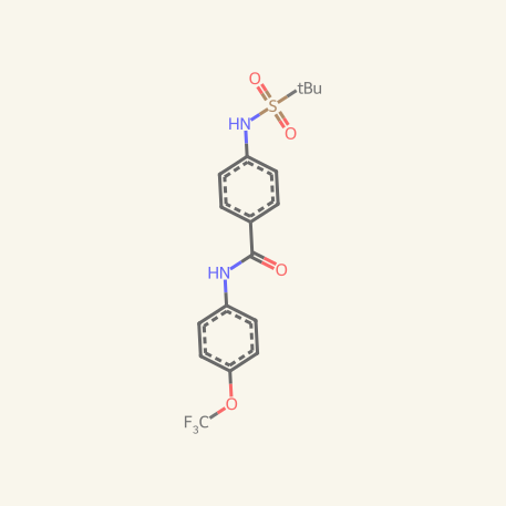 CC(C)(C)S(=O)(=O)Nc1ccc(C(=O)Nc2ccc(OC(F)(F)F)cc2)cc1